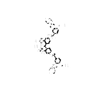 C=C(c1ccc(NC(=O)c2ccc(SC)c(S(=O)(=O)N3CCOCC3)c2)cc1S(=O)(=O)O)c1ccc(NC(=O)c2ccc(SC)c(S(=O)(=O)N3CCOCC3)c2)cc1S(=O)(=O)O